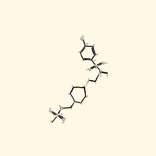 CN(CC[C@H]1CC[C@H](COS(C)(=O)=O)CC1)S(=O)(=O)c1ccc(Cl)cc1